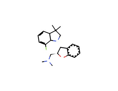 CN(C)C[C@@H]1Oc2ccccc2[C@H]1N1[C]C(C)(C)C2C=CC=C(F)C21